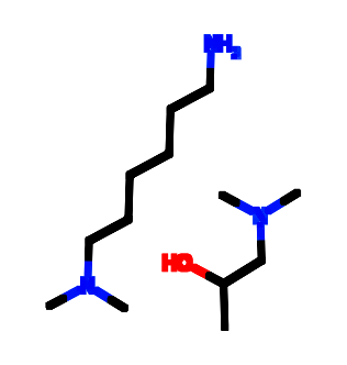 CC(O)CN(C)C.CN(C)CCCCCCN